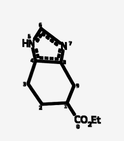 CCOC(=O)C1CCc2[nH]cnc2C1